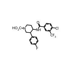 O=C(NC1CCN(C(=O)O)CC1c1ccc(F)cc1)c1ccc(Cl)c(C(F)(F)F)c1